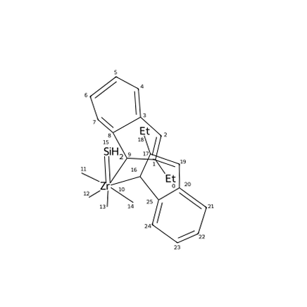 CCC1=Cc2ccccc2[CH]1[Zr]([CH3])([CH3])([CH3])([CH3])(=[SiH2])[CH]1C(CC)=Cc2ccccc21